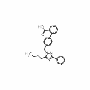 CCCCc1nc(-c2ccccc2)nn1Cc1ccc(-c2ccccc2C(=O)O)cc1